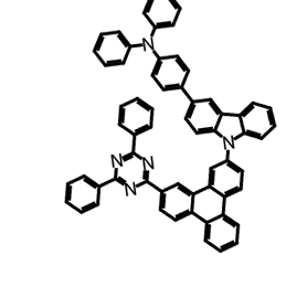 c1ccc(-c2nc(-c3ccccc3)nc(-c3ccc4c5ccccc5c5ccc(-n6c7ccccc7c7cc(-c8ccc(N(c9ccccc9)c9ccccc9)cc8)ccc76)cc5c4c3)n2)cc1